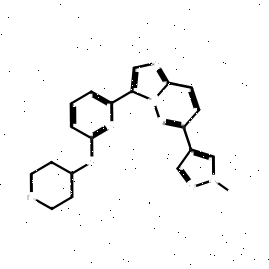 Cn1cc(-c2ccc3ncc(-c4cccc(NC5CCNCC5)n4)n3n2)cn1